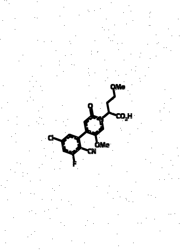 COCCC(C(=O)O)n1cc(OC)c(-c2cc(Cl)cc(F)c2C#N)cc1=O